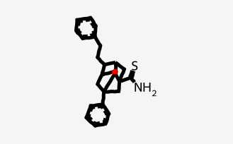 NC(=S)C12CC3CC(c4ccccc4)(CC(C1)C3CCc1ccccc1)C2